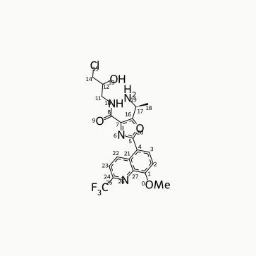 COc1ccc(-c2nc(C(=O)NCC(O)CCl)c([C@H](C)N)o2)c2ccc(C(F)(F)F)nc12